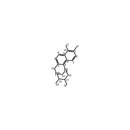 Cc1ccc2c3c(ccc2c1C)CN1CN3CC(C)C1C